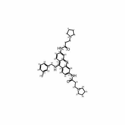 O=C(CCN1CCCC1)Nc1ccc2c(NCc3cccc(F)c3)c3ccc(NC(=O)CCN4CCCC4)cc3nc2c1